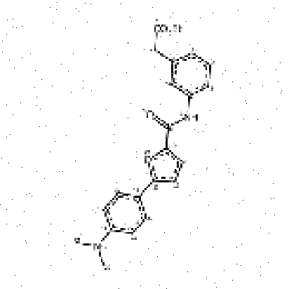 CCOC(=O)Cc1cccc(NC(=O)c2ccc(-c3ccc(N(C)C)cc3)o2)c1